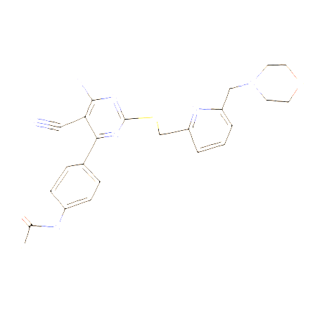 CC(=O)Nc1ccc(-c2nc(SCc3cccc(CN4CCOCC4)n3)nc(N)c2C#N)cc1